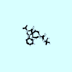 CC(C)N1CN(c2ccccc2)C2(CCN(C(=O)OC(C)(C)C)CC2)C1=O